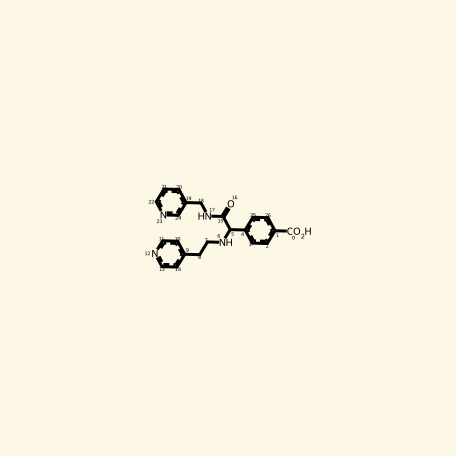 O=C(O)c1ccc(C(NCCc2ccncc2)C(=O)NCc2cccnc2)cc1